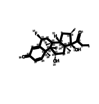 CCC(=O)[C@@]1(O)[C@@H](C)C[C@H]2[C@]3(C)C[C@H](F)C4=CC(=O)C=C[C@]4(C)[C@@]3(F)[C@@H](O)C[C@@]21C